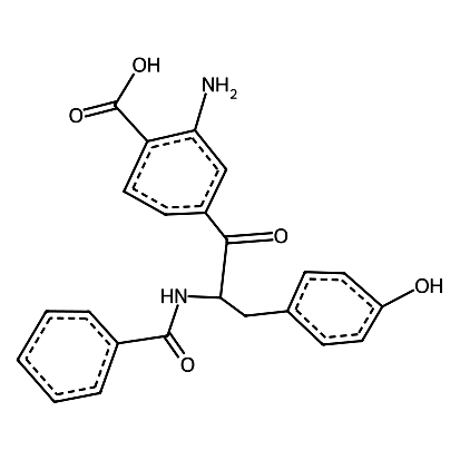 Nc1cc(C(=O)C(Cc2ccc(O)cc2)NC(=O)c2ccccc2)ccc1C(=O)O